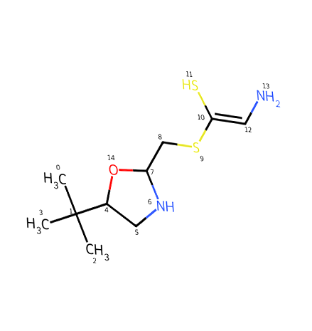 CC(C)(C)C1CNC(CS/C(S)=C/N)O1